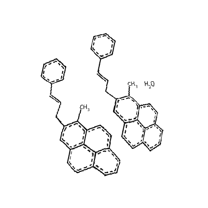 Cc1c(CC=Cc2ccccc2)cc2ccc3cccc4ccc1c2c34.Cc1c(CC=Cc2ccccc2)cc2ccc3cccc4ccc1c2c34.O